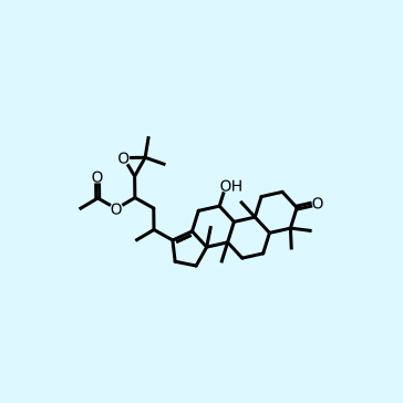 CC(=O)OC(CC(C)C1=C2CC(O)C3C4(C)CCC(=O)C(C)(C)C4CCC3(C)C2(C)CC1)C1OC1(C)C